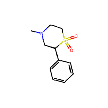 CN1CCS(=O)(=O)C(c2ccccc2)C1